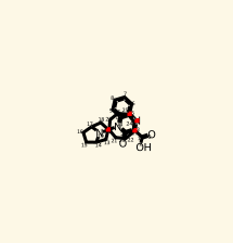 O=C(O)c1nc2ccccc2n(C2CC3CCC(C2)N3C2CCCCCCC2)c1=O